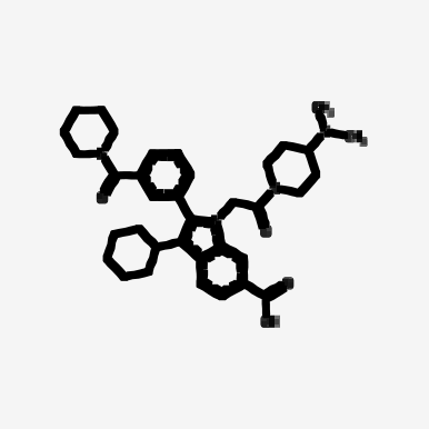 CN(C)C1CCN(C(=O)Cn2c(-c3cccc(C(=O)N4CCCCC4)c3)c(C3CCCCC3)c3ccc(C(=O)O)cc32)CC1